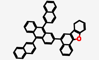 C1=Cc2oc3c(cc(-c4ccc5c(-c6ccc7ccccc7c6)c6ccccc6c(-c6ccc7ccccc7c6)c5c4)c4ccccc43)c2CC1